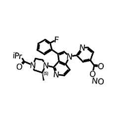 CC(C)C(=O)N1CCN(c2nccc3c2c(-c2ccccc2F)cn3-c2cc(C(=O)ON=O)ccn2)[C@@H](C)C1